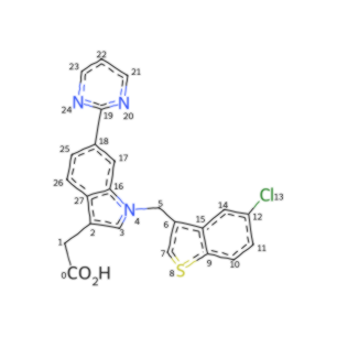 O=C(O)Cc1cn(Cc2csc3ccc(Cl)cc23)c2cc(-c3ncccn3)ccc12